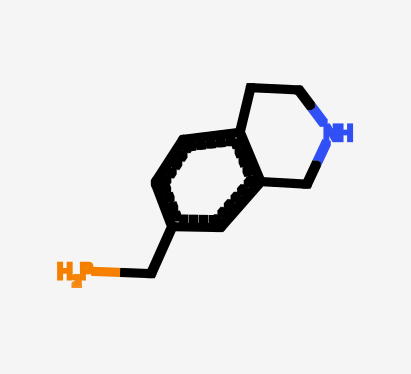 PCc1ccc2c(c1)CNCC2